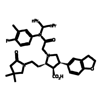 CCCC(CCC)N(C(=O)CN1C[C@H](c2ccc3c(c2)CCO3)[C@@H](C(=O)O)[C@@H]1CCN1CC(C)(C)CC1=O)c1ccc(F)c(C)c1